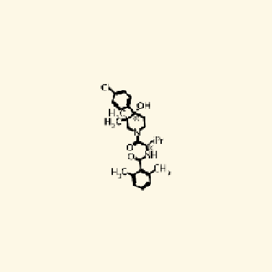 Cc1cccc(C)c1C(=O)N[C@@H](C(=O)N1CC[C@](O)(c2ccc(Cl)cc2)C(C)(C)C1)C(C)C